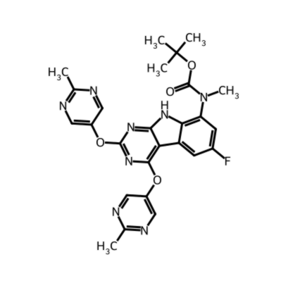 Cc1ncc(Oc2nc(Oc3cnc(C)nc3)c3c(n2)[nH]c2c(N(C)C(=O)OC(C)(C)C)cc(F)cc23)cn1